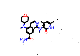 Cc1cc(C)c(N(C)c2nccc3c(N(C)C4CCOCC4)cc(C(N)=O)cc23)c(=O)[nH]1